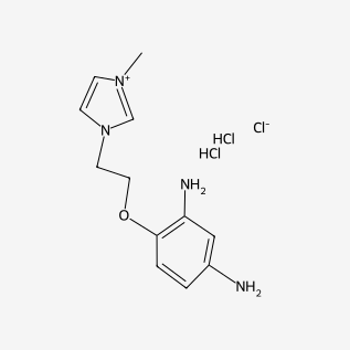 C[n+]1ccn(CCOc2ccc(N)cc2N)c1.Cl.Cl.[Cl-]